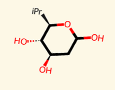 CC(C)[C@H]1OC(O)C[C@@H](O)[C@@H]1O